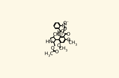 COc1cc(OC)c(C2C(C)CNC2COC(C)=O)c(OC(=O)c2ccccc2[N+](=O)[O-])c1C(C)=O